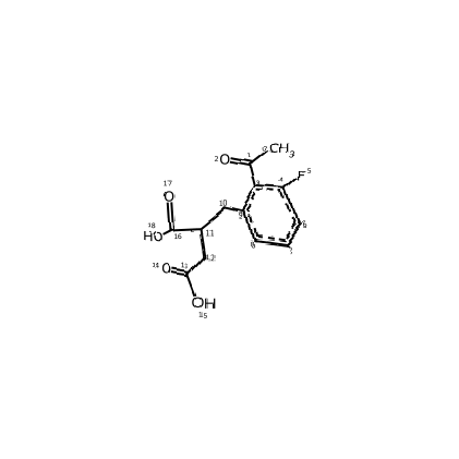 CC(=O)c1c(F)cccc1CC(CC(=O)O)C(=O)O